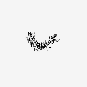 O.O.O.O.O.O.O.O.O.O.O=S(=O)(O)O.O=S(=O)([O-])[O-].[Na+].[Na+]